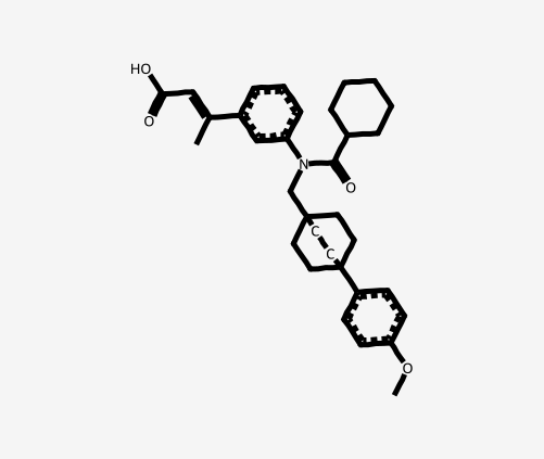 COc1ccc(C23CCC(CN(C(=O)C4CCCCC4)c4cccc(/C(C)=C/C(=O)O)c4)(CC2)CC3)cc1